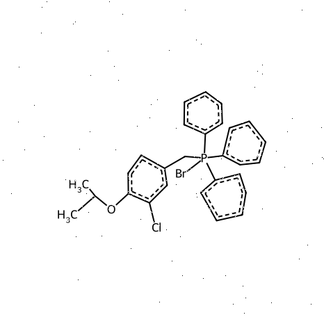 CC(C)Oc1ccc(CP(Br)(c2ccccc2)(c2ccccc2)c2ccccc2)cc1Cl